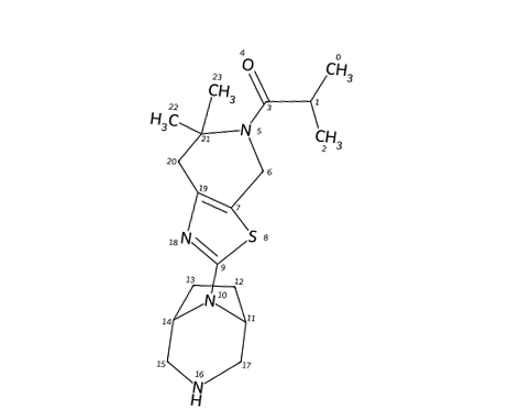 CC(C)C(=O)N1Cc2sc(N3C4CCC3CNC4)nc2CC1(C)C